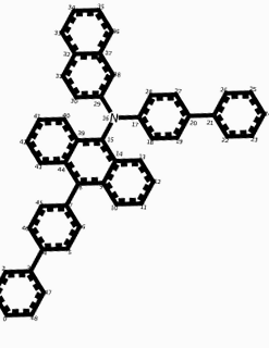 c1ccc(-c2ccc(-c3c4ccccc4c(N(c4ccc(-c5ccccc5)cc4)c4ccc5ccccc5c4)c4ccccc34)cc2)cc1